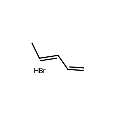 Br.C=CC=CC